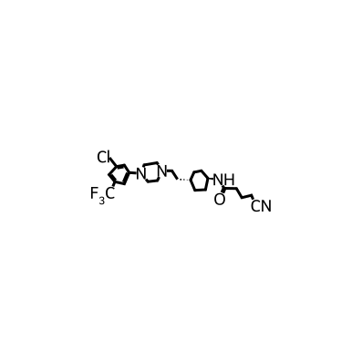 N#CCCCC(=O)N[C@H]1CC[C@H](CCN2CCN(c3cc(Cl)cc(C(F)(F)F)c3)CC2)CC1